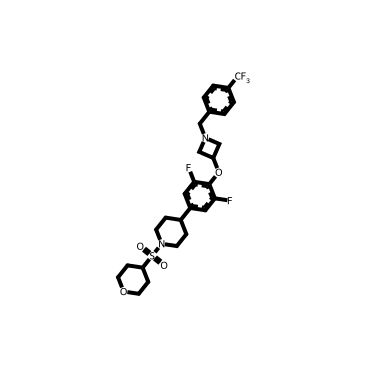 O=S(=O)(C1CCOCC1)N1CCC(c2cc(F)c(OC3CN(Cc4ccc(C(F)(F)F)cc4)C3)c(F)c2)CC1